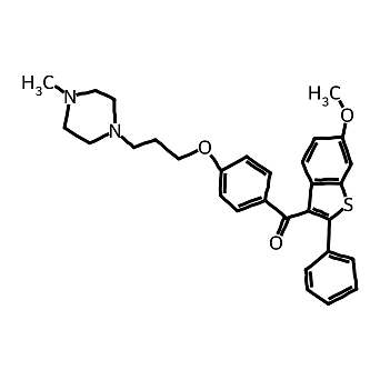 COc1ccc2c(C(=O)c3ccc(OCCCN4CCN(C)CC4)cc3)c(-c3ccccc3)sc2c1